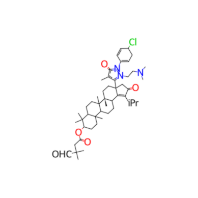 Cc1c(C23CC[C@]4(C)C(CCC5C6(C)CCC(OC(=O)CC(C)(C)C=O)C(C)(C)C6CCC54C)C2=C(C(C)C)C(=O)C3)n(CCN(C)C)n(C2=CCC(Cl)C=C2)c1=O